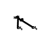 CCCCCCCCCCCCCCCCCC(=O)OCCCC(CCCCCCCCCCCC)C1=NCCN1